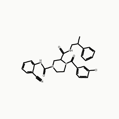 CC(CNC(=O)C1CN(C(=O)Nc2ccccc2C#N)CCN1C(=O)c1cccc(Cl)c1)c1ccccc1